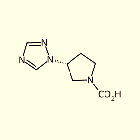 O=C(O)N1CC[C@@H](n2cncn2)C1